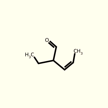 C/C=C\C(C=O)CC